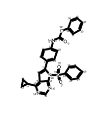 O=C(Nc1ccc(-c2cc3c(C4CC4)ncnc3n2S(=O)(=O)c2ccccc2)cc1)Oc1ccccc1